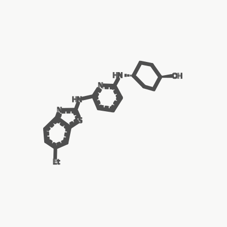 CCc1ccc2nc(Nc3cccc(N[C@H]4CC[C@H](O)CC4)n3)sc2c1